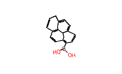 OB(O)C1=C2C=CC3=C4C(=CC=C(C=C1)C24)CC=C3